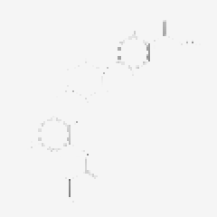 CNC(=O)c1ccc(N2CCN(Cc3cc(Cl)c4c(c3)NC(=O)C(C)O4)CC2)cc1